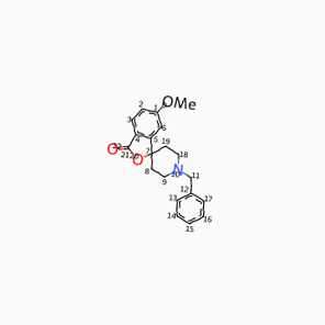 COc1ccc2c(c1)C1(CCN(Cc3ccccc3)CC1)OC2=O